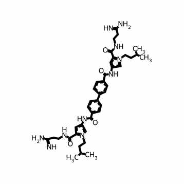 CC(C)CCn1cc(NC(=O)c2ccc(-c3ccc(C(=O)Nc4cc(C(=O)NCCC(=N)N)n(CCC(C)C)c4)cc3)cc2)cc1C(=O)NCCC(=N)N